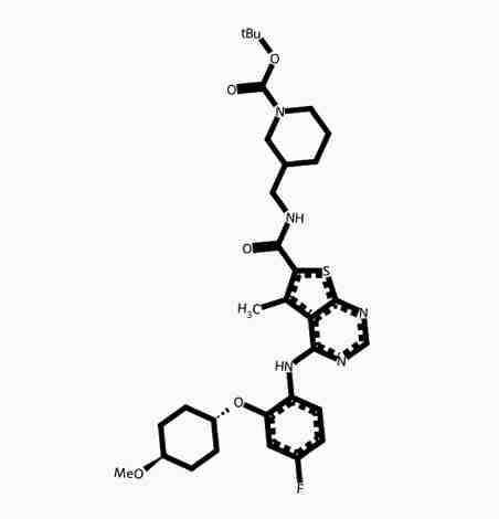 CO[C@H]1CC[C@H](Oc2cc(F)ccc2Nc2ncnc3sc(C(=O)NCC4CCCN(C(=O)OC(C)(C)C)C4)c(C)c23)CC1